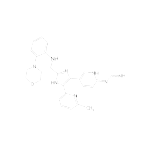 Cc1cccc(-c2[nH]c(CNc3ccccc3N3CCOCC3)nc2-c2cc/c(=N/C=N)[nH]c2)n1